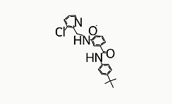 COc1ccc(C(=O)Nc2ccc(C(C)(C)C)cc2)cc1NCCc1ncccc1Cl